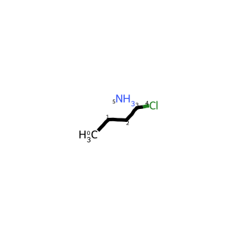 CCCCCl.N